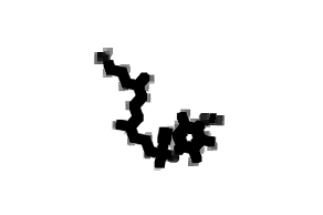 C#CC(C)(CCCC(C)CCCC(C)CCCC(C)C)Oc1cc(C)c(OC(C)=O)c(C)c1C